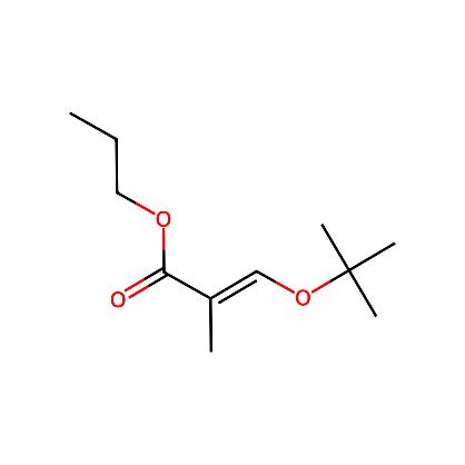 CCCOC(=O)C(C)=COC(C)(C)C